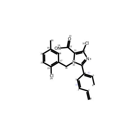 C=C/C=C\C(=C/C)c1nc(Cl)c(C(=O)N=O)n1Cc1cc(C)ccc1Cl